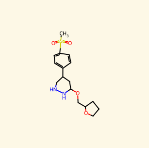 CS(=O)(=O)c1ccc(C2CNNC(OCC3CCCO3)C2)cc1